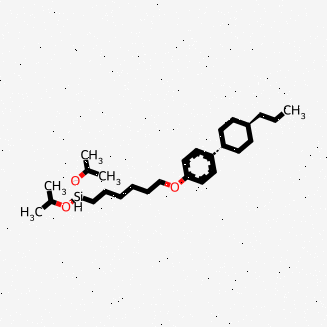 CCC[C@H]1CC[C@H](c2ccc(OCCCCCC[SiH](OC(C)C)OC(C)C)cc2)CC1